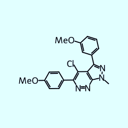 COc1ccc(-c2nnc3c(c(-c4cccc(OC)c4)nn3C)c2Cl)cc1